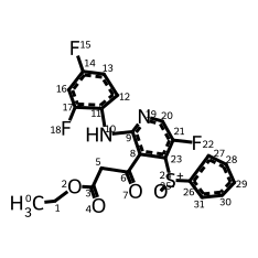 CCOC(=O)CC(=O)c1c(Nc2ccc(F)cc2F)ncc(F)c1[S+]([O-])c1ccccc1